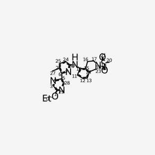 CCOc1cnc(-c2nc(Nc3cccc4c3CCN(S(C)(=O)=O)C4)ccc2C)cn1